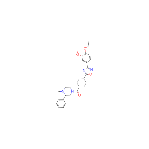 CCOc1ccc(-c2noc(C3CCC(C(=O)N4CCN(C)C(c5ccccc5)C4)CC3)n2)cc1OC